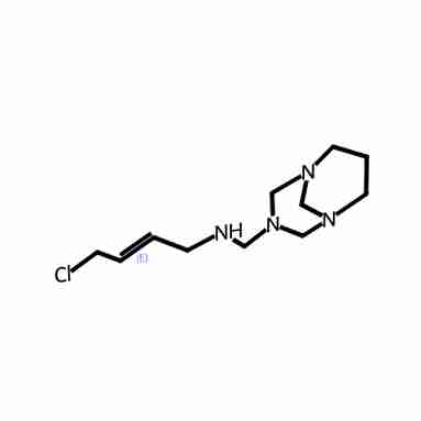 ClC/C=C/CNCN1CN2CCCN(C2)C1